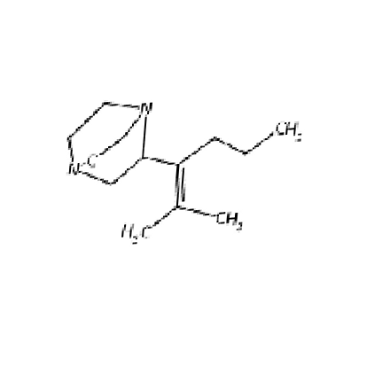 CCCC(=C(C)C)C1CN2CCN1CC2